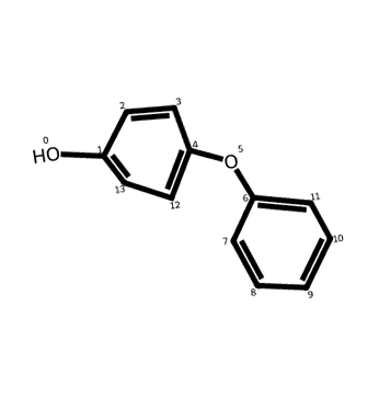 Oc1ccc(Oc2[c]cccc2)cc1